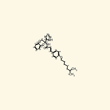 CC(C)CCCCCOc1ccc(C=CC(=O)NC2(c3nnn[nH]3)COc3ccccc3O2)cc1